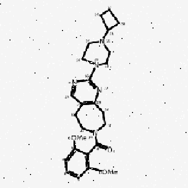 COc1cccc(OC)c1C(=O)N1CCc2cnc(N3CCN(C4CCC4)CC3)nc2CC1